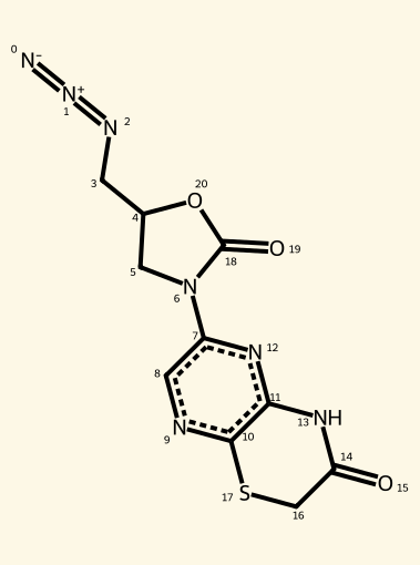 [N-]=[N+]=NCC1CN(c2cnc3c(n2)NC(=O)CS3)C(=O)O1